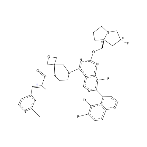 CCc1c(F)ccc2cccc(-c3ncc4c(N5CCN(C(=O)/C(F)=C/c6ccnc(C)n6)C6(COC6)C5)nc(OC[C@@]56CCCN5C[C@H](F)C6)nc4c3F)c12